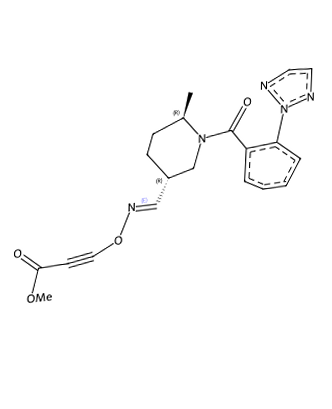 COC(=O)C#CO/N=C/[C@@H]1CC[C@@H](C)N(C(=O)c2ccccc2-n2nccn2)C1